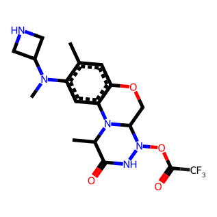 Cc1cc2c(cc1N(C)C1CNC1)N1C(C)C(=O)NN(OC(=O)C(F)(F)F)C1CO2